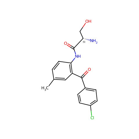 Cc1ccc(NC(=O)[C@@H](N)CO)c(C(=O)c2ccc(Cl)cc2)c1